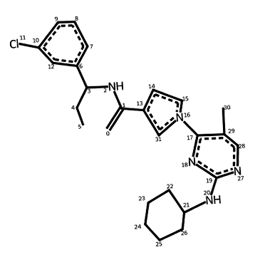 C=C(NC(CC)c1cccc(Cl)c1)c1ccn(-c2nc(NC3CCCCC3)ncc2C)c1